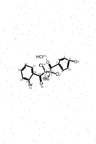 CC(C)(C)[N+](Cl)(C(=O)c1ccc(Cl)cc1)N(Cl)C(=O)c1ccccc1Br.Cl